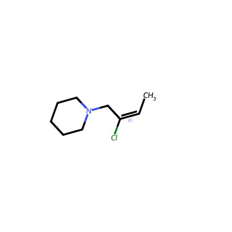 C/C=C(/Cl)CN1CCCCC1